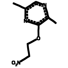 Cc1cnc(C)c(OCC[N+](=O)[O-])n1